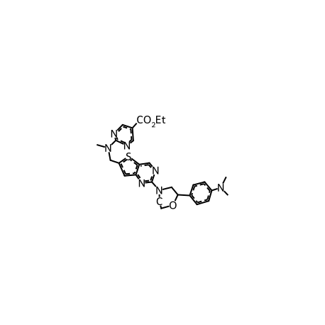 CCOC(=O)c1cnc(N(C)Cc2cc3nc(N4CCOC(c5ccc(N(C)C)cc5)C4)ncc3s2)nc1